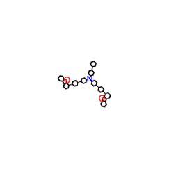 C1=Cc2c(oc3ccccc23)C(c2ccc(-c3ccc(N(c4ccc(-c5ccccc5)cc4)c4ccc(-c5ccc(-c6cccc7c6oc6ccccc67)cc5)cc4)cc3)cc2)C1